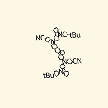 CC(C)(C)C1C=CC(N2c3ccccc3C3=CC(N(C4=CC5OC6=C(C=C7C=CC(N(C8=CCC9C(C8)c8ccccc8N9C8C=CC(C(C)(C)C)CC8)C8CC=C(C#N)CC8)CC7C6)C5C=C4)C4CC=C(C#N)CC4)=CCC32)CC1